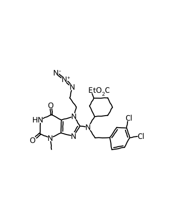 CCOC(=O)C1CCCC(N(Cc2ccc(Cl)c(Cl)c2)c2nc3c(c(=O)[nH]c(=O)n3C)n2CCN=[N+]=[N-])C1